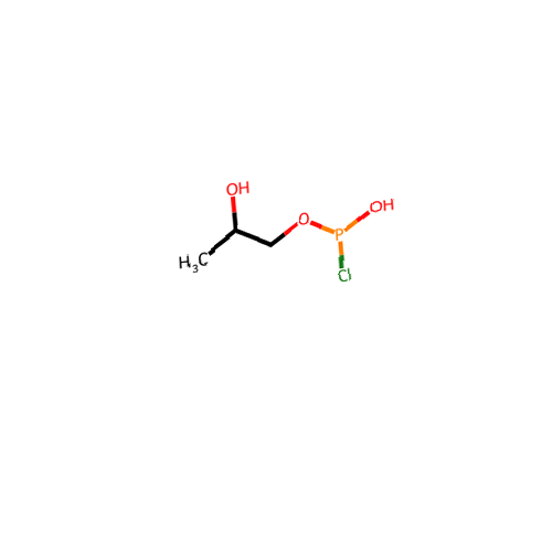 CC(O)COP(O)Cl